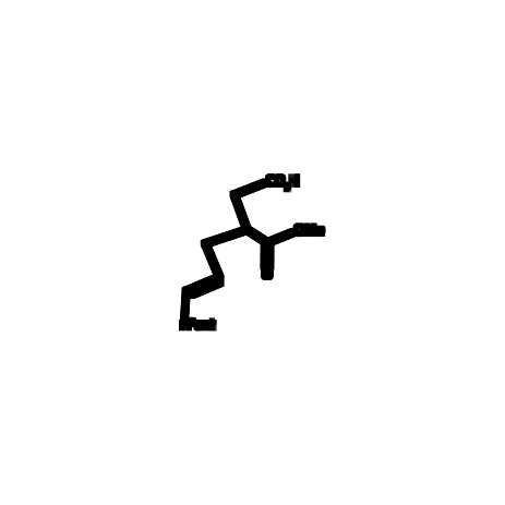 CCCCC/C=C/CC(CC(=O)O)C(=O)OC